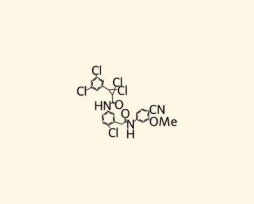 COc1cc(NC(=O)Cc2cc(NC(=O)C3C(c4cc(Cl)cc(Cl)c4)C3(Cl)Cl)ccc2Cl)ccc1C#N